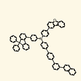 c1ccc(C2(c3ccccc3)c3ccccc3-c3c(-c4ccc(N(c5ccc(-c6ccc(-c7cccc(-c8ccc9ccccc9c8)c7)cc6)cc5)c5ccc(-c6ccc7oc8ccccc8c7c6)cc5)cc4)cccc32)cc1